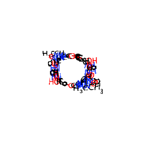 CN[C@@H](C)C(=O)N[C@@H](CC1CCCCC1)C(=O)N1C[C@@H]2C[C@H]1C(=O)N[C@@H](Cc1ccccc1)C(=O)N[C@H](C(=O)O)Cc1ccc(cc1)OCc1cn(nn1)[C@H]1C[C@@H](C(=O)N[C@@H](Cc3ccccc3)C(=O)N[C@H](C(=O)O)Cc3ccc(cc3)OCc3cn2nn3)N(C(=O)[C@H](CC2CCCCC2)NC(=O)[C@H](C)NC)C1